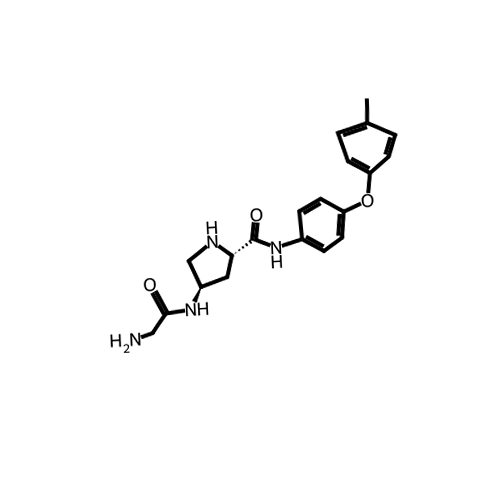 Cc1ccc(Oc2ccc(NC(=O)[C@@H]3C[C@@H](NC(=O)CN)CN3)cc2)cc1